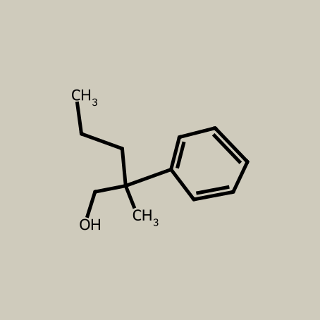 CCCC(C)(CO)c1ccccc1